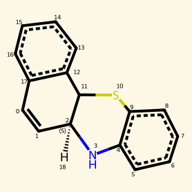 C1=C[C@@H]2Nc3ccccc3SC2c2ccccc21